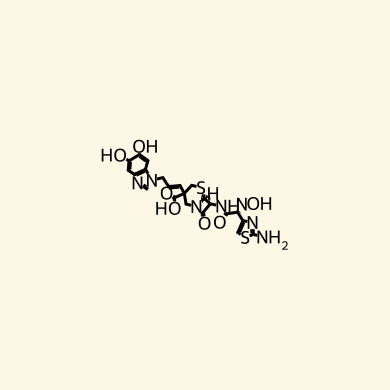 Nc1nc(C(=NO)C(=O)NC2C(=O)N3CC(C=CCn4cnc5cc(O)c(O)cc54)(C(=O)O)CS[C@H]23)cs1